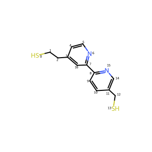 SCCc1ccnc(-c2ccc(CS)cn2)c1